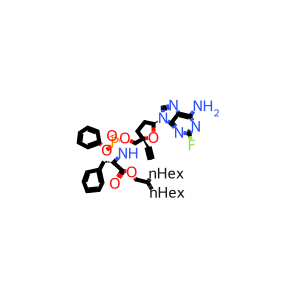 C#C[C@@]1(COP(=O)(N[C@@H](Cc2ccccc2)C(=O)OCC(CCCCCC)CCCCCC)Oc2ccccc2)CC[C@H](n2cnc3c(N)nc(F)nc32)O1